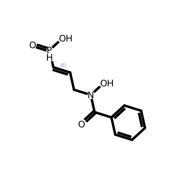 O=C(c1ccccc1)N(O)C/C=C/[PH](=O)O